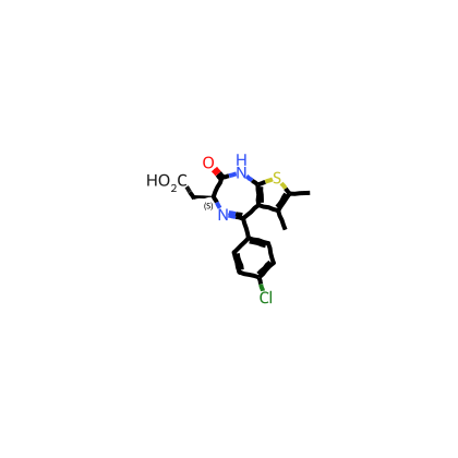 Cc1sc2c(c1C)C(c1ccc(Cl)cc1)=N[C@@H](CC(=O)O)C(=O)N2